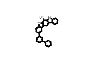 Brc1c2c(cc3c4c(oc13)=CCC(c1cccc(-c3ccccc3)c1)=C4)-c1ccccc1N=2